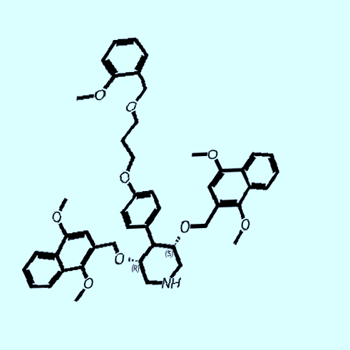 COc1ccccc1COCCCOc1ccc(C2[C@@H](OCc3cc(OC)c4ccccc4c3OC)CNC[C@H]2OCc2cc(OC)c3ccccc3c2OC)cc1